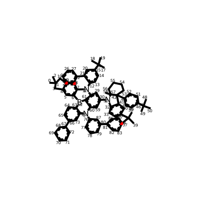 CC1(C)Cc2cc3c(cc2C1)N(c1ccc(C(C)(C)C)cc1-c1ccccc1)c1cc(N2c4ccc(C(C)(C)C)cc4C4(c5ccc(C(C)(C)C)cc5)CCCCC24C)cc2c1B3c1ccc(-c3ccccc3)cc1N2c1cccc(-c2ccccc2)c1